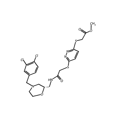 COC(=O)CSc1ccc(SCC(=O)NC[C@H]2CN(Cc3ccc(Cl)c(Cl)c3)CCO2)nn1